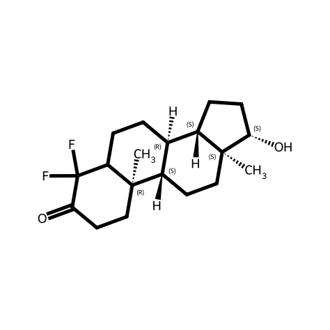 C[C@]12CC[C@H]3[C@@H](CCC4C(F)(F)C(=O)CC[C@@]43C)[C@@H]1CC[C@@H]2O